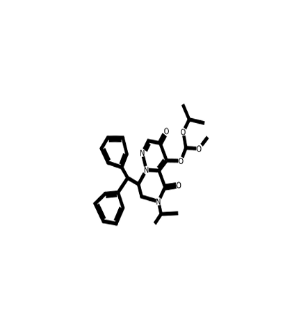 COC(Oc1c2n(ncc1=O)C(C(c1ccccc1)c1ccccc1)CN(C(C)C)C2=O)OC(C)C